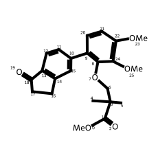 COC(=O)C(C)(C)COc1c(-c2ccc3c(c2)CCC3=O)ccc(OC)c1OC